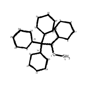 [SiH3]OC(C1CCCCC1)C(C1CCCCC1)(C1CCCCC1)C1CCCCC1